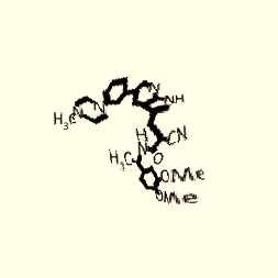 COc1ccc([C@@H](C)NC(=O)/C(C#N)=C/c2c[nH]c3ncc(-c4cccc(N5CCN(C)CC5)c4)cc23)cc1OC